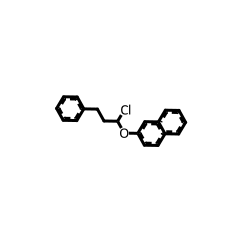 ClC(CCc1ccccc1)Oc1ccc2ccccc2c1